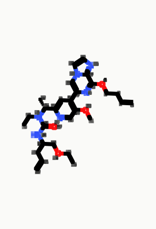 C=CCCOc1nc(-c2cc([C@@H](C)N(CC)C(=O)NC(CC=C)COCC)ncc2OC)cn2ccnc12